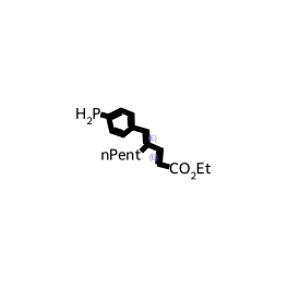 CCCCCC(/C=C/C(=O)OCC)=C\c1ccc(P)cc1